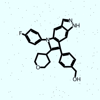 OCc1ccc(-c2c(C3CCOCC3)n(-c3ccc(F)cc3)c3cc4cn[nH]c4cc23)cc1